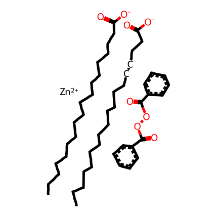 CCCCCCCCCCCCCCCCCC(=O)[O-].CCCCCCCCCCCCCCCCCC(=O)[O-].O=C(OOC(=O)c1ccccc1)c1ccccc1.[Zn+2]